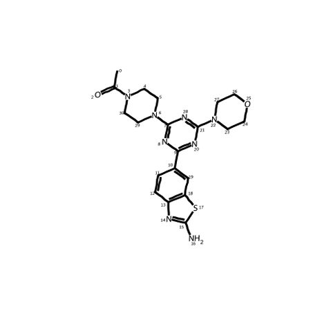 CC(=O)N1CCN(c2nc(-c3ccc4nc(N)sc4c3)nc(N3CCOCC3)n2)CC1